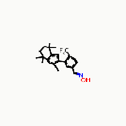 Cc1cc2c(cc1-c1cc(/C=N/O)ccc1C(F)(F)F)C(C)(C)CCC2(C)C